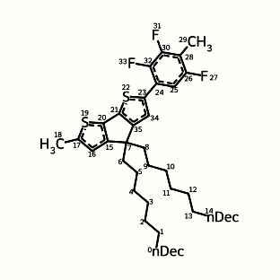 CCCCCCCCCCCCCCCCC1(CCCCCCCCCCCCCCCC)c2cc(C)sc2-c2sc(-c3cc(F)c(C)c(F)c3F)cc21